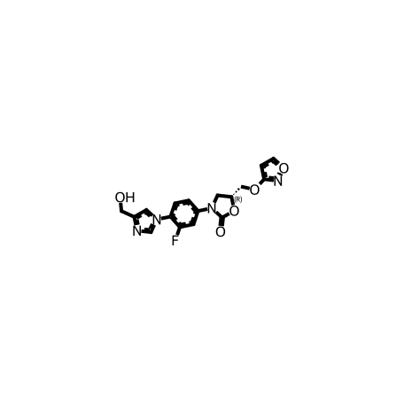 O=C1O[C@@H](COc2ccon2)CN1c1ccc(-n2cnc(CO)c2)c(F)c1